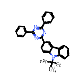 CCCC(C)(CC)n1c2ccccc2c2cc(-c3nc(-c4ccccc4)nc(-c4ccccc4)n3)ccc21